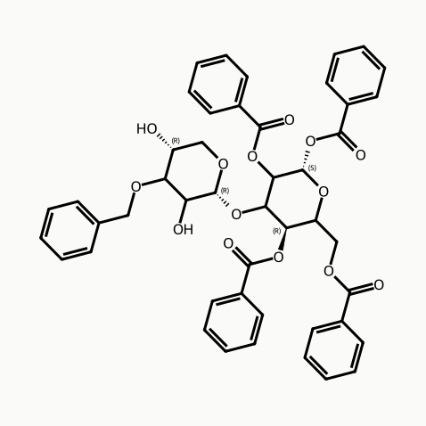 O=C(OCC1O[C@@H](OC(=O)c2ccccc2)C(OC(=O)c2ccccc2)C(O[C@H]2OC[C@@H](O)C(OCc3ccccc3)C2O)[C@@H]1OC(=O)c1ccccc1)c1ccccc1